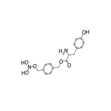 NC(Cc1ccc(O)cc1)C(=O)OCc1ccc(CON(O)O)cc1